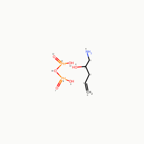 C=CCC(O)CN.O=[PH](O)O[PH](=O)O